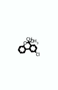 CC1(C)Oc2ccccc2-c2cc(Cl)ccc21